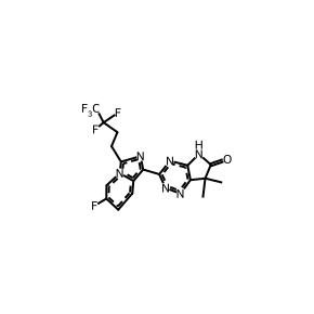 CC1(C)C(=O)Nc2nc(-c3nc(CCC(F)(F)C(F)(F)F)n4cc(F)ccc34)nnc21